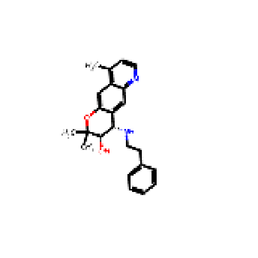 Cc1ccnc2cc3c(cc12)OC(C)(C)[C@H](O)[C@H]3NCCc1ccccc1